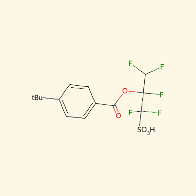 CC(C)(C)c1ccc(C(=O)OC(F)(C(F)F)C(F)(F)S(=O)(=O)O)cc1